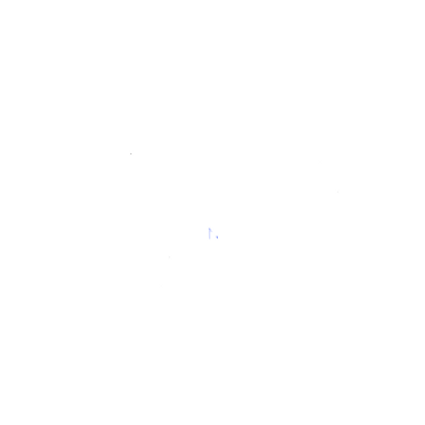 Cc1cc2c(C(C)(C)C)cc(C(C)(C)C)nc2c2c1CCC2